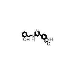 O=c1[nH]c2ccc(-c3cncc(NCCc4ccccc4O)c3)cc2s1